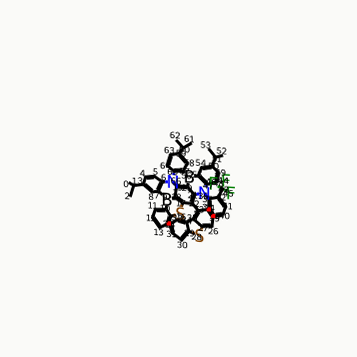 CC(C)c1ccc2c(c1)B1c3ccccc3Sc3c1c1c4c(c3-c3cccc5sc6ccccc6c35)N(c3ccccc3C(F)(F)F)c3ccc(C(C)C)cc3B4c3cc(C(C)C)ccc3N21